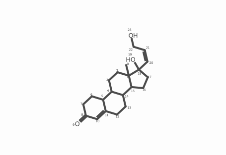 CC12CCC3C4CCC(=O)C=C4CCC3C1CCC2(O)/C=C\CO